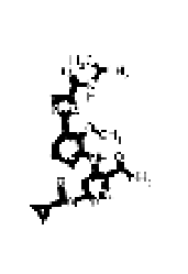 COc1c(Nc2cc(NC(=O)C3CC3)nnc2C(N)=O)cccc1-c1ncc(C(=O)NC(C)C)s1